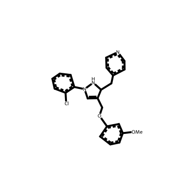 COc1cccc(OCC2=CN(c3ccccc3Cl)NC2Cc2ccncc2)c1